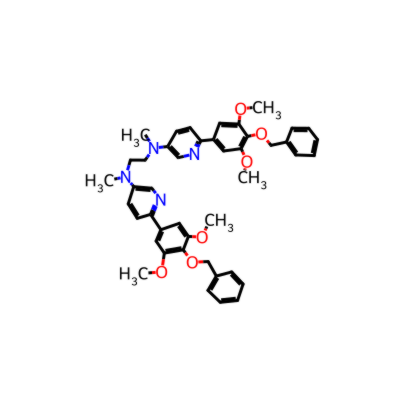 COc1cc(-c2ccc(N(C)CCN(C)c3ccc(-c4cc(OC)c(OCc5ccccc5)c(OC)c4)nc3)cn2)cc(OC)c1OCc1ccccc1